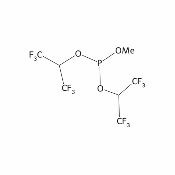 COP(OC(C(F)(F)F)C(F)(F)F)OC(C(F)(F)F)C(F)(F)F